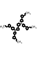 C/C=C/c1cccc(-c2ccc(N(c3ccc(-c4cccc(/C=C/C)c4)cc3)c3cccc(-c4cccc(N(c5ccc(-c6cccc(/C=C/C)c6)cc5)c5ccc(-c6cccc(/C=C/C)c6)cc5)c4)c3)cc2)c1